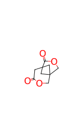 O=C1CC23CC(CO1)(COC2=O)C3